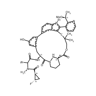 CCn1c(-c2cccnc2[C@H](C)OC)c2c3cc(ccc31)-c1cc(O)cc(c1)C[C@H](NC(=O)C(C(C)C)N(C)C(=O)[C@H]1C[C@@H]1F)C(=O)N1CCC[C@H](N1)C(=O)OCC(C)(C)C2